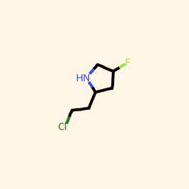 FC1CNC(CCCl)C1